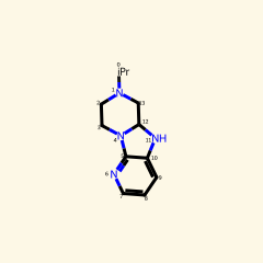 CC(C)N1CCN2c3ncccc3NC2C1